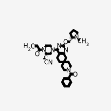 C=CC(=O)N1CCN(c2nc(OC[C@@H]3CCCN3C)nc3c2CCC2(CCN(C(=O)c4ccccc4)CC2)C3)C[C@@H]1CC#N